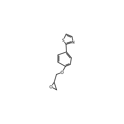 c1csc(-c2ccc(OCC3CO3)cc2)n1